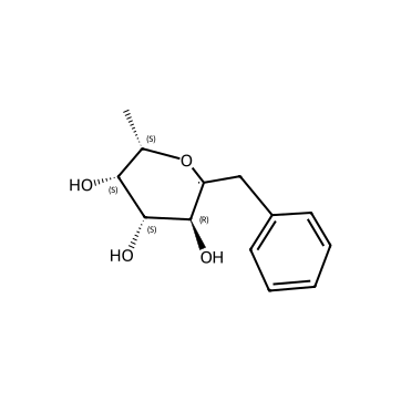 C[C@@H]1O[C](Cc2ccccc2)[C@@H](O)[C@H](O)[C@@H]1O